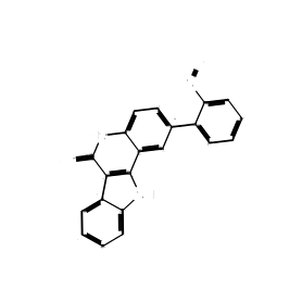 O=Nc1ccccc1-c1ccc2[nH]c(=O)c3c4ccccc4[nH]c3c2c1